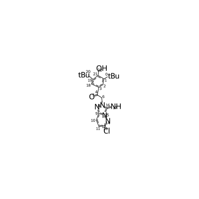 CC(C)(C)c1cc(C(=O)Cn2nc3ccc(Cl)nn3c2=N)cc(C(C)(C)C)c1O